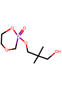 CC(C)(CO)COP1(=O)COCCO1